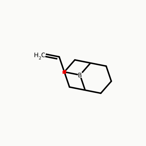 C=CCB1C2CCCC1CCC2